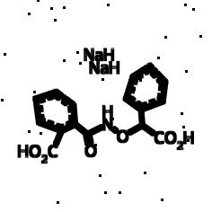 O=C(O)c1ccccc1C(=O)NOC(C(=O)O)c1ccccc1.[NaH].[NaH]